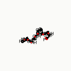 C[C@@H]1CN(CC(=O)N2CC(C)(C)c3[nH]c(=O)c(Cc4ccc(F)cc4)cc32)[C@@H](CN2CCO[C@H](C(=O)NCCN3CCN(C(=O)[C@@H]4CN(C[C@H]5CN[C@H](C)CN5CC(=O)N5CC(C)(C)c6[nH]c(=O)c(Cc7ccc(F)cc7)cc65)CCO4)CC3)C2)CN1